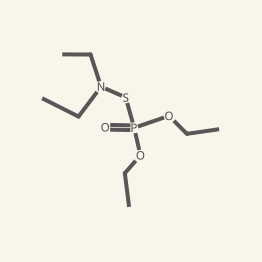 CCOP(=O)(OCC)SN(CC)CC